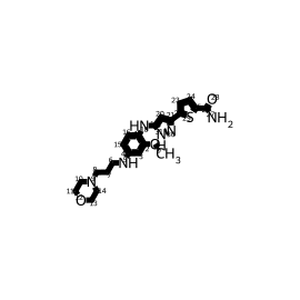 COc1cc(NCCCN2CCOCC2)ccc1Nc1cc(-c2ccc(C(N)=O)s2)n[nH]1